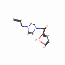 C=CCN1CCN(C(=O)c2ccco2)CC1